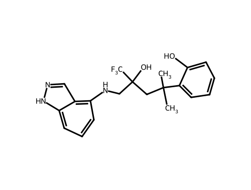 CC(C)(CC(O)(CNc1cccc2[nH]ncc12)C(F)(F)F)c1ccccc1O